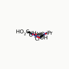 CC(/C=C/C=C/C(=O)NCCCC(=O)O)=C\C=C\C=C(/Cl)[C@@H](C)[C@@H](O)[C@H](O)[C@H](O)C[C@@H](O)/C=C/C=C/C(C)C